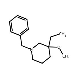 CCC1(OC)CCCN(Cc2ccccc2)C1